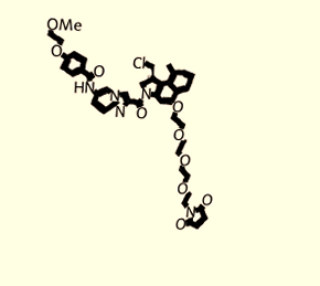 COCCOc1ccc(C(=O)Nc2ccc3nc(C(=O)N4C[C@@H](CCl)c5c4cc(OCCOCCOCCOCCN4C(=O)C=CC4=O)c4cccc(C)c54)cn3c2)cc1